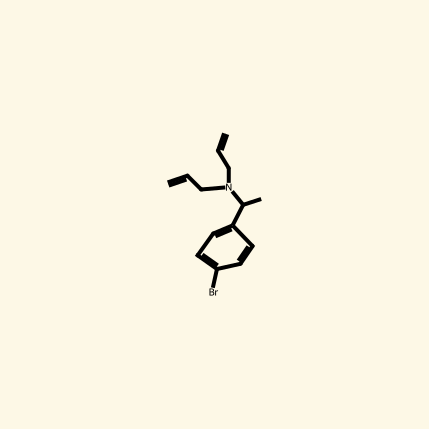 C=CCN(CC=C)C(C)c1ccc(Br)cc1